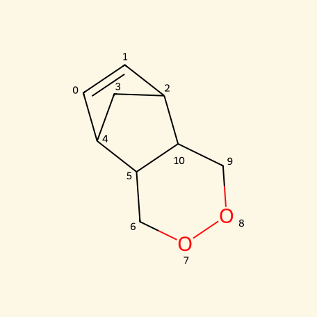 C1=CC2CC1C1COOCC21